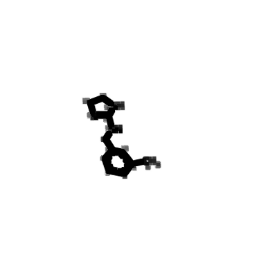 Cc1cccc(CNC2=NCCN2)c1